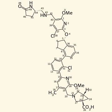 COc1nc(O[C@H]2CCc3c(-c4cccc(-c5cc(C)c(CN6C[C@@H]7C[C@]7(C(=O)O)C6)c(OC)n5)c4Cl)cccc32)c(Cl)cc1CNC[C@@H]1CCC(=O)N1